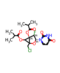 CC(C)C(=O)OC1C2(CCl)O[C@@H](n3ccc(=O)[nH]c3=O)[C@H](F)[C@@]12OC(=O)C(C)C